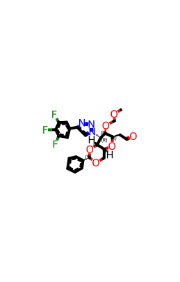 COCO[C@@H]1[C@@H](n2cc(-c3cc(F)c(F)c(F)c3)nn2)[C@H]2O[C@@H](c3ccccc3)OC[C@H]2O[C@@H]1CC=O